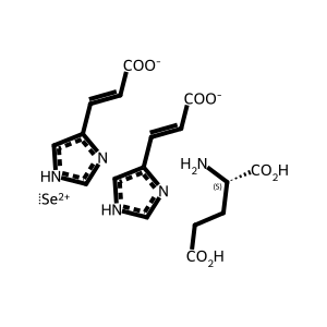 N[C@@H](CCC(=O)O)C(=O)O.O=C([O-])C=Cc1c[nH]cn1.O=C([O-])C=Cc1c[nH]cn1.[Se+2]